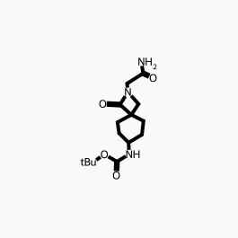 CC(C)(C)OC(=O)NC1CCC2(CC1)CN(CC(N)=O)C2=O